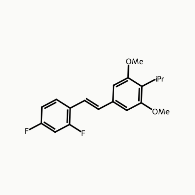 COc1cc(/C=C/c2ccc(F)cc2F)cc(OC)c1C(C)C